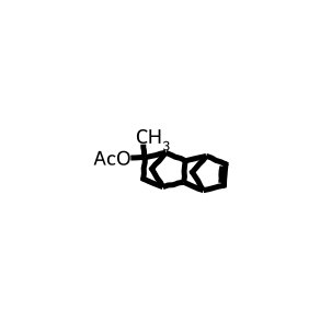 CC(=O)OC1(C)CC2CC1C1C3C=CC(C3)C21